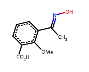 COc1c(C(=O)O)cccc1/C(C)=N/O